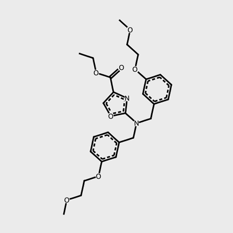 CCOC(=O)c1coc(N(Cc2cccc(OCCOC)c2)Cc2cccc(OCCOC)c2)n1